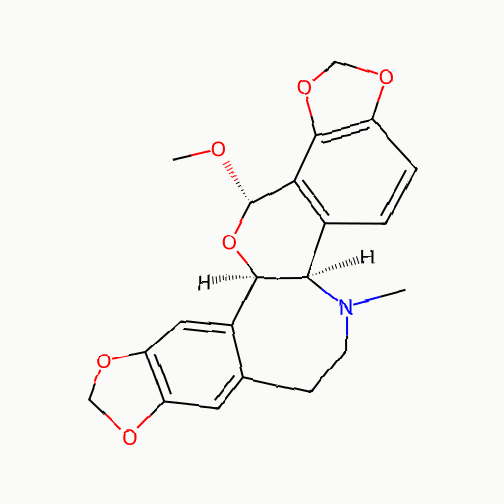 CO[C@H]1O[C@@H]2c3cc4c(cc3CCN(C)[C@@H]2c2ccc3c(c21)OCO3)OCO4